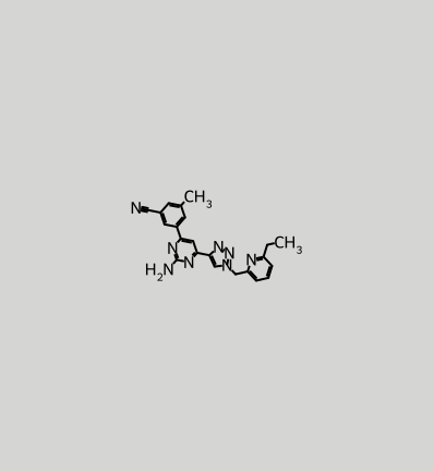 CCc1cccc(Cn2cc(-c3cc(-c4cc(C)cc(C#N)c4)nc(N)n3)nn2)n1